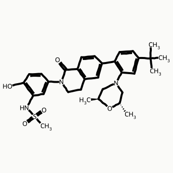 C[C@H]1CN(c2cc(C(C)(C)C)ccc2-c2ccc3c(c2)CCN(c2ccc(O)c(NS(C)(=O)=O)c2)C3=O)C[C@H](C)O1